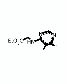 CCOC(=O)CNc1ncnc(Cl)c1I